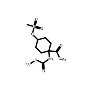 COC(=O)C1(NC(=O)OC(C)(C)C)CCC(OS(C)(=O)=O)CC1